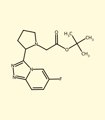 CC(C)(C)OC(=O)CN1CCCC1c1nnc2ccc(F)cn12